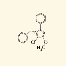 COc1cc(-c2ccccc2)n(Cc2ccccc2)c1Cl